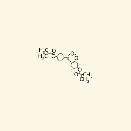 C=C(C)C(=O)Oc1ccc(/C2=C/c3ccc(OC(=O)C(=C)C)cc3OCOC2)cc1